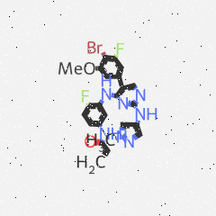 C=CC(=O)Nc1ccc(F)c(Nc2nc(Nc3cnn(C)c3)ncc2-c2cc(F)c(Br)c(OC)c2)c1